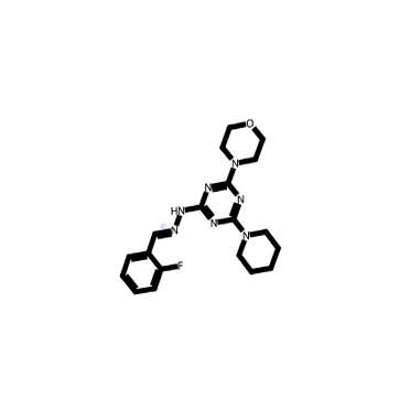 Fc1ccccc1/C=N/Nc1nc(N2CCCCC2)nc(N2CCOCC2)n1